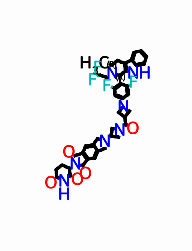 C[C@@H]1Cc2c([nH]c3ccccc23)[C@@H](c2c(F)cc(N3CC(C(=O)N4CC(N5Cc6cc7c(cc6C5)C(=O)N(C5CCC(=O)NC5=O)C7=O)C4)C3)cc2F)N1CC(F)F